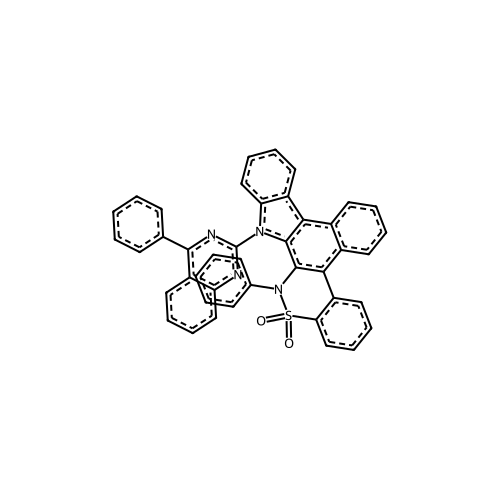 O=S1(=O)c2ccccc2-c2c(c3c(c4ccccc24)c2ccccc2n3-c2nc(-c3ccccc3)c3ccccc3n2)N1c1ccccc1